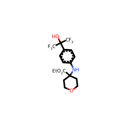 CCOC(=O)C1(Nc2ccc(C(O)(C(F)(F)F)C(F)(F)F)cc2)CCOCC1